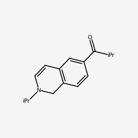 CC(C)C(=O)c1ccc2c(c1)C=CN(C(C)C)C2